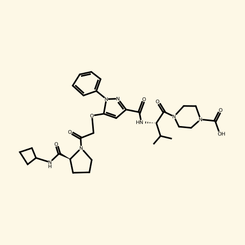 CC(C)[C@H](NC(=O)c1cc(OCC(=O)N2CCC[C@H]2C(=O)NC2CCC2)n(-c2ccccc2)n1)C(=O)N1CCN(C(=O)O)CC1